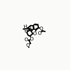 COCC(=O)OC1CC[C@H]2[C@H]3Cc4ccc(OC(C)=O)c5c4[C@@]2(CCN3C)C1O5